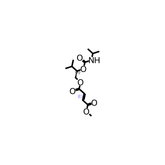 COC(=O)/C=C/C(=O)OC[C@H](OC(=O)NC(C)C)C(C)C